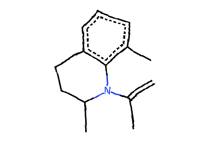 C=C(C)N1c2c(C)cccc2CCC1C